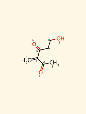 C=C(C(C)=O)C(=O)CCO